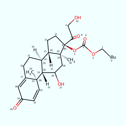 CCC(C)COC(=O)O[C@]1(C(=O)CO)CC[C@H]2[C@@H]3CCC4=CC(=O)C=C[C@]4(C)[C@H]3C(O)C[C@@]21C